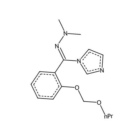 CCCOCOc1ccccc1/C(=N/N(C)C)n1ccnc1